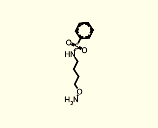 NOCCCCNS(=O)(=O)c1ccccc1